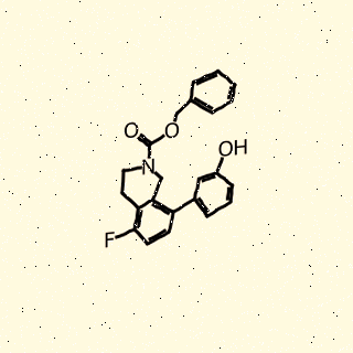 O=C(OCc1ccccc1)N1CCc2c(F)ccc(-c3cccc(O)c3)c2C1